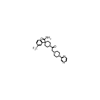 NC(=O)C1(c2cccc(C(F)(F)F)c2)CCN(C(=O)CN2CCN(c3cnccn3)CC2)CC1